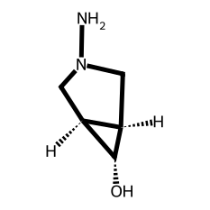 NN1C[C@@H]2[C@@H](O)[C@@H]2C1